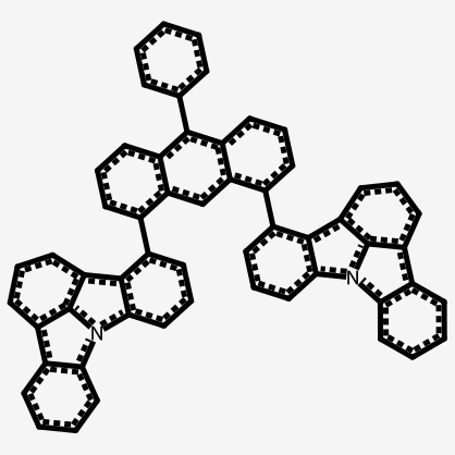 c1ccc(-c2c3cccc(-c4cccc5c4c4cccc6c7ccccc7n5c64)c3cc3c(-c4cccc5c4c4cccc6c7ccccc7n5c64)cccc23)cc1